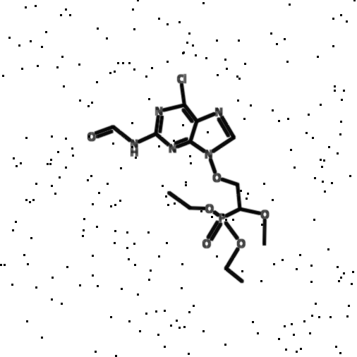 CCOP(=O)(OCC)C(COn1cnc2c(Cl)nc(NC=O)nc21)OC